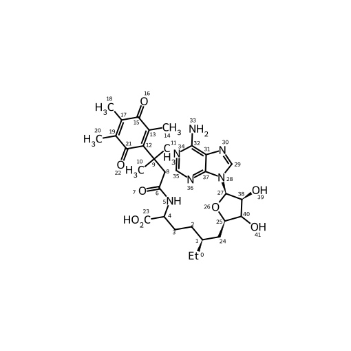 CC[C@@H](CCC(NC(=O)CC(C)(C)C1=C(C)C(=O)C(C)=C(C)C1=O)C(=O)O)C[C@H]1O[C@@H](n2cnc3c(N)ncnc32)[C@@H](O)C1O